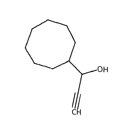 C#CC(O)C1CCCCCCC1